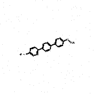 CCCCCc1ccc(-c2ccc(-c3ccc(OCCCC)cc3)cc2)nc1